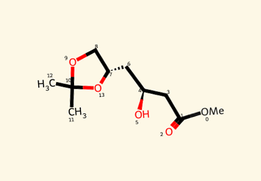 COC(=O)C[C@@H](O)C[C@H]1COC(C)(C)O1